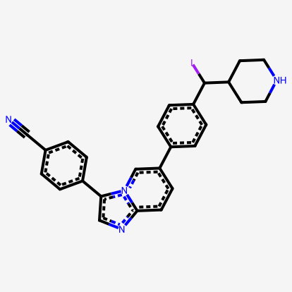 N#Cc1ccc(-c2cnc3ccc(-c4ccc(C(I)C5CCNCC5)cc4)cn23)cc1